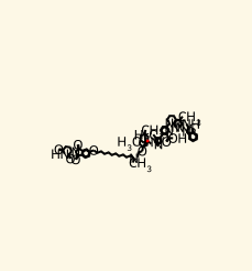 Cc1c(Nc2nc3ccccc3s2)nnc2c1CCCN2c1ccc(-c2cnn(CC34CC5(C)CC(C)(C3)CC(OCCN(C)CCCCCCCCCCOc3ccc6c(c3)C(=O)N(C3CCC(=O)NC3=O)C6=O)(C5)C4)c2C)c(C(=O)O)n1